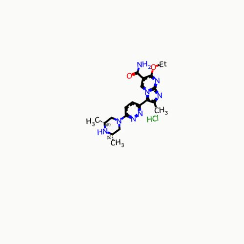 CCOc1nc2nc(C)c(-c3ccc(N4C[C@@H](C)N[C@@H](C)C4)nn3)n2cc1C(N)=O.Cl